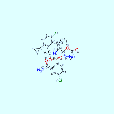 Cc1c(C2CC2)ccc(F)c1[C@@H](C)[C@H](NS(=O)(=O)c1ccc(Cl)cc1C(N)=O)c1n[nH]c(=O)o1